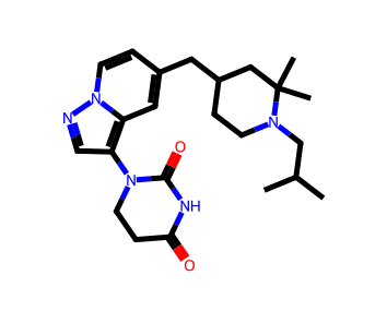 CC(C)CN1CCC(Cc2ccn3ncc(N4CCC(=O)NC4=O)c3c2)CC1(C)C